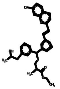 CCOC(=O)C(C)CSC(c1cccc(C=Cc2ccc3ccc(Cl)cc3n2)c1)c1cccc(CC(C)O)c1